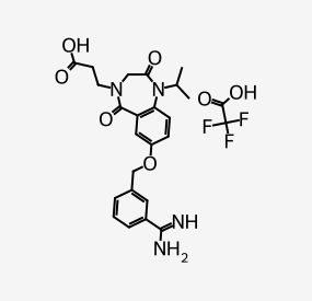 CC(C)N1C(=O)CN(CCC(=O)O)C(=O)c2cc(OCc3cccc(C(=N)N)c3)ccc21.O=C(O)C(F)(F)F